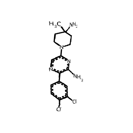 CC1(N)CCN(c2cnc(-c3ccc(Cl)c(Cl)c3)c(N)n2)CC1